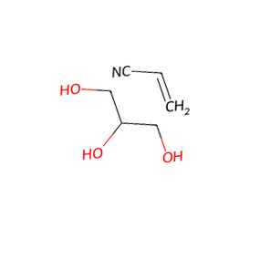 C=CC#N.OCC(O)CO